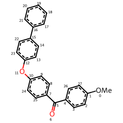 COc1ccc(C(=O)c2ccc(Oc3ccc(-c4ccccc4)cc3)cc2)cc1